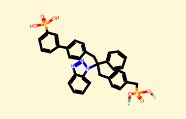 O=P(Cc1ccc(CC(Cc2ccc(-c3cccc(P(=O)(O)O)c3)cc2)(c2ccccc2)n2nnc3ccccc32)cc1)(OF)OF